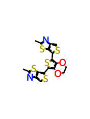 Cc1nc2csc(-c3sc(-c4scc5nc(C)sc45)c4c3OCCO4)c2s1